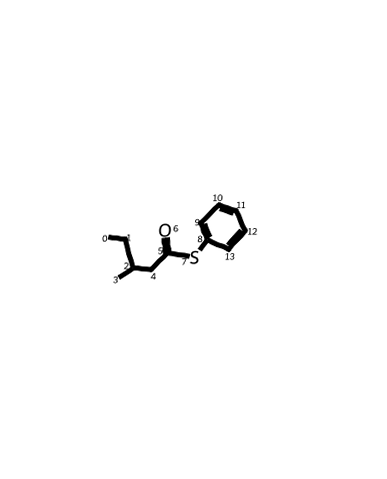 CCC(C)CC(=O)Sc1ccccc1